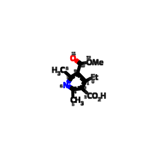 CCc1c(C(=O)O)c(C)nc(C)c1C(=O)OC